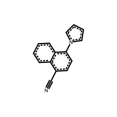 N#Cc1ccc(-n2cccc2)c2ccccc12